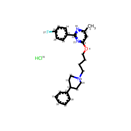 Cc1cc(OCCCCN2CCC(c3ccccc3)CC2)nc(-c2ccc(F)cc2)n1.Cl